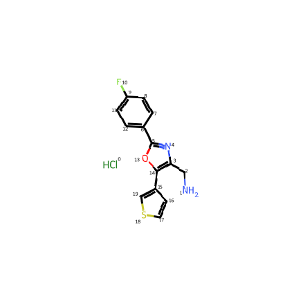 Cl.NCc1nc(-c2ccc(F)cc2)oc1-c1ccsc1